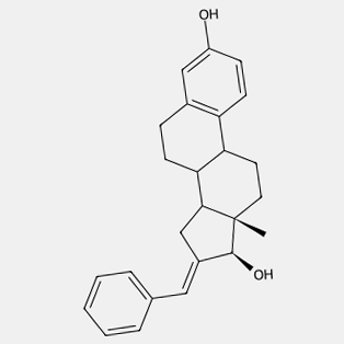 C[C@]12CCC3c4ccc(O)cc4CCC3C1C/C(=C\c1ccccc1)[C@@H]2O